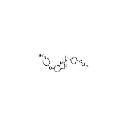 CC(C)N1CCC(Oc2ccc3cnc(Nc4ccc(OC(F)(F)F)cc4)nc3c2)CC1